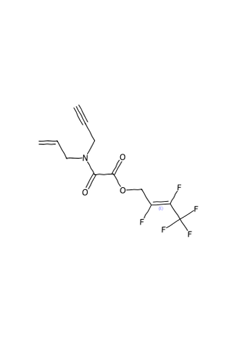 C#CCN(CC=C)C(=O)C(=O)OC/C(F)=C(\F)C(F)(F)F